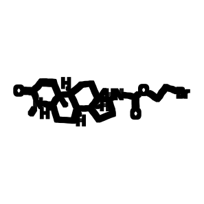 CN1C(=O)C=C[C@]2(C)[C@H]3CC[C@]4(C)[C@@H](NC(=O)OCCBr)CC[C@H]4[C@@H]3CC[C@@H]12